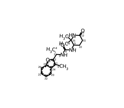 Cc1c([C@H](C)NC(=O)NC2CCC(=O)NC2(C)C)oc2ccccc12